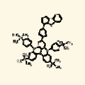 C[Si](C)(C)c1ccc(N2c3cc([Si](C)(C)C)ccc3B3c4ccc([Si](C)(C)C)cc4N(c4ccc([Si](C)(C)C)cc4)c4cc(-c5ccc(-c6cccc7c6oc6ccccc67)cc5)cc2c43)cc1